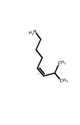 CC(C)/C=C\CCCN